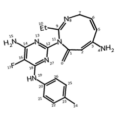 C=C1/C=C(N)\C=C/C/N=C(/CC)N1c1nc(N)c(F)c(Nc2ccc(C)cc2)n1